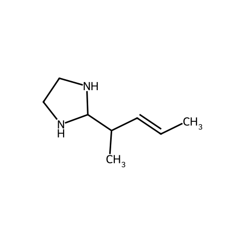 C/C=C/C(C)C1NCCN1